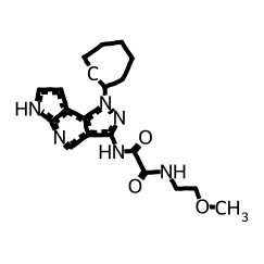 COCCNC(=O)C(=O)Nc1nn(C2CCCCCC2)c2c1cnc1[nH]ccc12